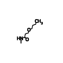 CCCCOCCC(=O)NI